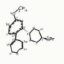 CCC[C@H]1CC[C@H](c2cc(OC(F)(F)F)ccc2C2=CCCCC2)CC1